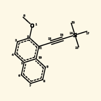 COc1ccc2ccccc2c1C#C[Si](C)(C)C